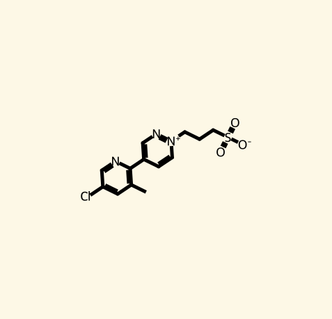 Cc1cc(Cl)cnc1-c1cc[n+](CCCS(=O)(=O)[O-])nc1